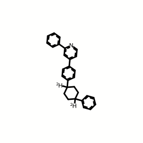 [2H]C1(c2ccccc2)CCC([2H])(c2ccc(-c3ccnc(-c4ccccc4)c3)cc2)CC1